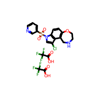 O=C(O)C(F)(F)F.O=C(O)C(F)(F)F.O=S(=O)(c1cccnc1)n1cc(Cl)c2c3c(ccc21)OCCNC3